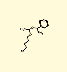 CC(OCCCCCl)OC([SiH3])c1ccccc1